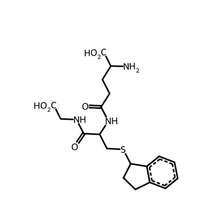 NC(CCC(=O)NC(CSC1CCc2ccccc21)C(=O)NCC(=O)O)C(=O)O